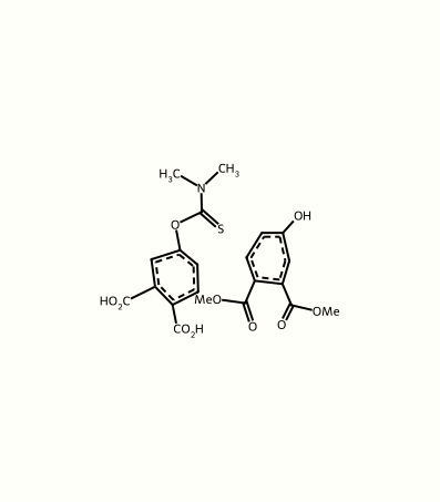 CN(C)C(=S)Oc1ccc(C(=O)O)c(C(=O)O)c1.COC(=O)c1ccc(O)cc1C(=O)OC